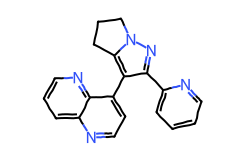 c1ccc(-c2nn3c(c2-c2ccnc4cccnc24)CCC3)nc1